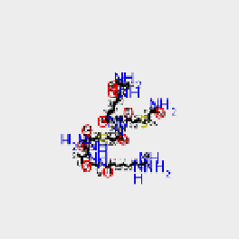 CC(C)[C@@H](NC(=O)[C@@H](C)NC(=O)CCCCCNC(=N)N)C(=O)NC(CSCCC(=O)N1CN(C(=O)CCCCC(=O)N[C@H](C)C(N)=O)CN(C(=O)CCS[C@@H](C)CC(N)=O)C1)C(N)=O